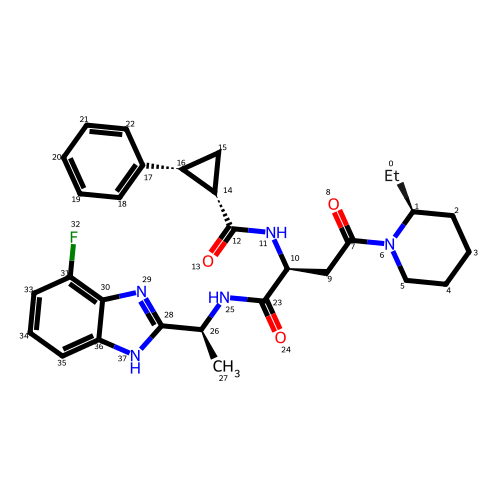 CC[C@H]1CCCCN1C(=O)C[C@H](NC(=O)[C@H]1C[C@H]1c1ccccc1)C(=O)N[C@@H](C)c1nc2c(F)cccc2[nH]1